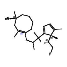 CCC[C@@]1(C)CCCC/C(CC(C)C(C)(C)C2=CC=C(C)[C@]2(C)[C@@H](C)CF)=C(/C)C1